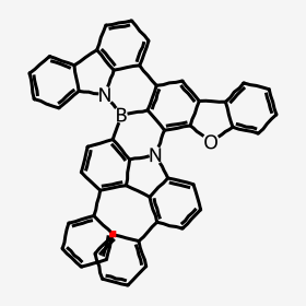 c1ccc(-c2cccc3c2c2c(-c4ccccc4)ccc4c2n3-c2c3c(cc5c2oc2ccccc25)-c2cccc5c6ccccc6n(c25)B34)cc1